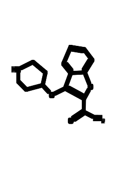 NC(=O)c1oc2ccccc2c1OC1CCNCC1